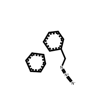 [N-]=[N+]=NCc1ccccc1.c1ccccc1